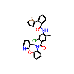 Cc1cc(C(=O)N2Cc3cccnc3Oc3ccccc32)c(Cl)cc1NC(=O)c1ccccc1-c1cccs1